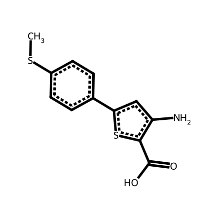 CSc1ccc(-c2cc(N)c(C(=O)O)s2)cc1